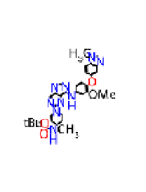 COc1cc(Nc2ncnc3cnc(N4CCC(C)(NC(=O)OC(C)(C)C)CC4)nc23)ccc1Oc1ccc2c(c1)ncn2C